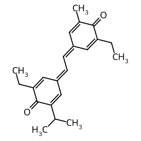 CCC1=C/C(=C\C=C2/C=C(CC)C(=O)C(C(C)C)=C2)C=C(C)C1=O